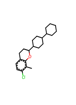 Cc1c(Cl)ccc2c1OC(C1CCC(C3CCCCC3)CC1)CC2